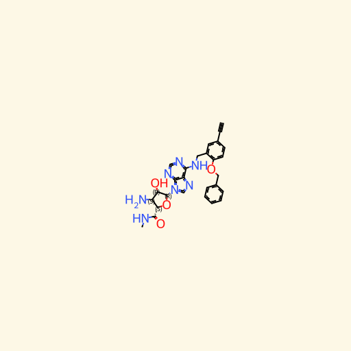 C#Cc1ccc(OCc2ccccc2)c(CNc2ncnc3c2ncn3[C@@H]2O[C@H](C(=O)NC)[C@@H](N)[C@H]2O)c1